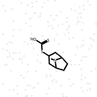 CN1C2CCC1CC(SC(O)=S)C2